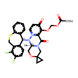 COC(=O)OCOc1c2n(ccc1=O)N([C@@H]1c3ccccc3SCc3c1ccc(F)c3F)[C@@H]1COC3(CC3)CN1C2=O